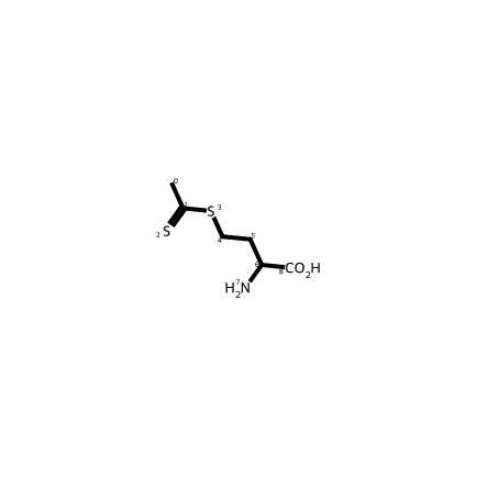 CC(=S)SCCC(N)C(=O)O